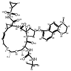 C[C@@H]1CC/C=C\C2CC2(C(=O)NS(=O)(=O)C2CC2)NC(=O)[C@@H]2C[C@@H](Oc3nccc4c5c(ccc34)N(C)CCO5)CN2C(=O)[C@@H](NC(=O)NC(C)(C)C)[C@H](C)C1